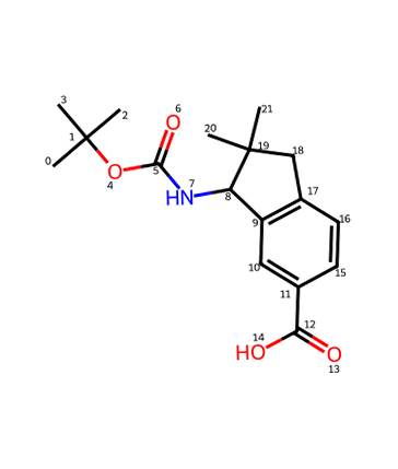 CC(C)(C)OC(=O)NC1c2cc(C(=O)O)ccc2CC1(C)C